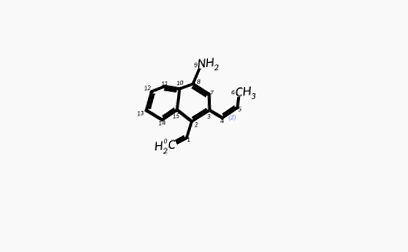 C=Cc1c(/C=C\C)cc(N)c2ccccc12